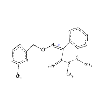 Cc1cccc(CO/N=C(\C(=N)N(C)NN)c2ccccc2)n1